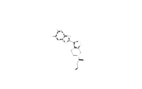 C=CCC(=O)N1CCc2c(n[nH]c2-c2nc3cc(C)c(C)cc3[nH]2)C1